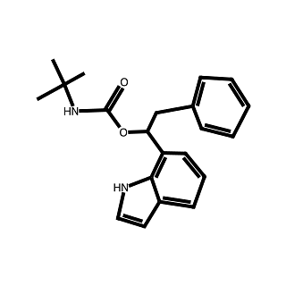 CC(C)(C)NC(=O)OC(Cc1ccccc1)c1cccc2cc[nH]c12